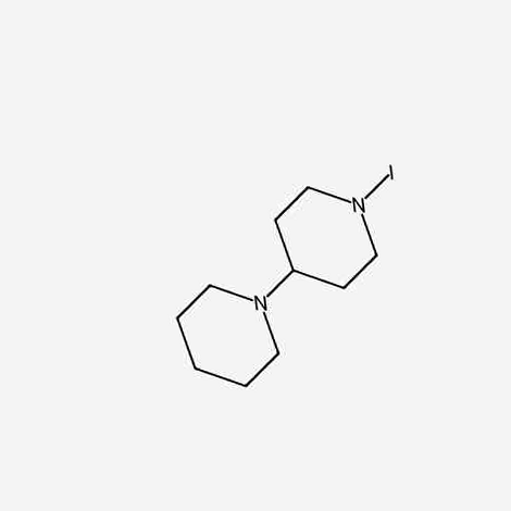 IN1CCC(N2CCCCC2)CC1